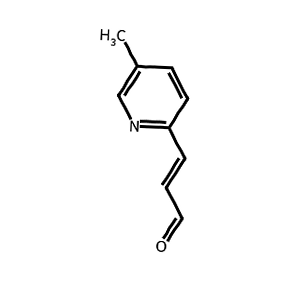 Cc1ccc(/C=C/C=O)nc1